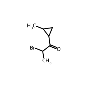 CC(Br)C(=O)C1CC1C